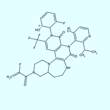 C=C(F)C(=O)N1CCN2c3c(c(=O)n(-c4c(C)ccnc4C(C)C)c4c(=O)n(C5C(F)=CC=C[C@H]5O)c(C(F)(F)F)cc34)NCCC2C1